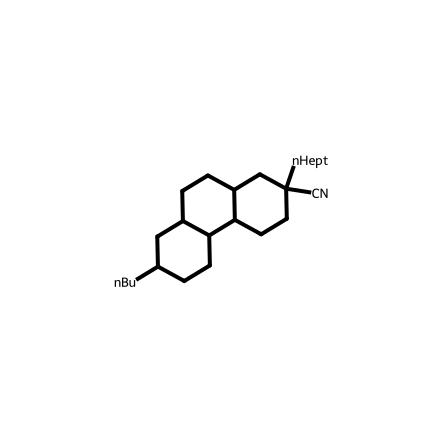 CCCCCCCC1(C#N)CCC2C(CCC3CC(CCCC)CCC32)C1